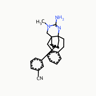 CN1CC23Cc4ccccc4CCC2(Cc2ccc(-c4cccc(C#N)c4)cc23)N=C1N